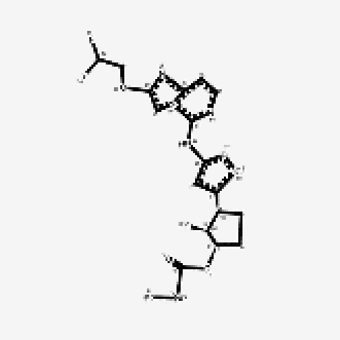 CC(C)NC(=O)O[C@@H]1CC[C@H](c2cc(Nc3nccc4nc(OCC(F)F)cn34)n[nH]2)[C@@H]1F